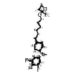 CCC1(OCCCCCCc2ccc(Nc3cc(F)c(F)c(F)c3)cc2)CCO1